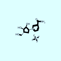 F[B-](F)(F)F.NC(=O)c1ccc[n+]([C@@H]2C[C@H](CO)[C@@H](O)[C@H]2O)c1